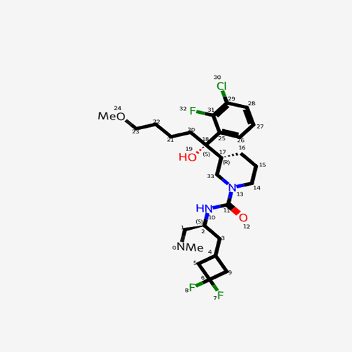 CNC[C@H](CC1CC(F)(F)C1)NC(=O)N1CCC[C@@H]([C@@](O)(CCCCOC)c2cccc(Cl)c2F)C1